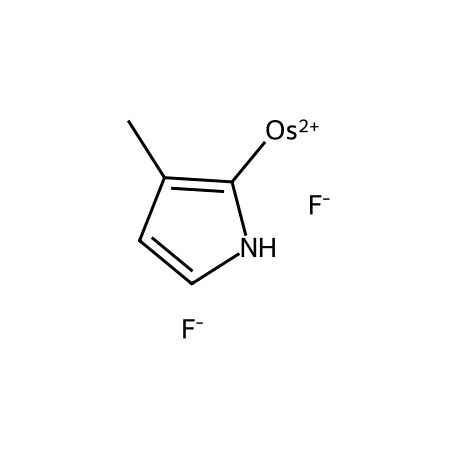 Cc1cc[nH][c]1[Os+2].[F-].[F-]